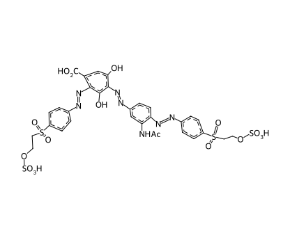 CC(=O)Nc1cc(N=Nc2c(O)cc(C(=O)O)c(N=Nc3ccc(S(=O)(=O)CCOS(=O)(=O)O)cc3)c2O)ccc1N=Nc1ccc(S(=O)(=O)CCOS(=O)(=O)O)cc1